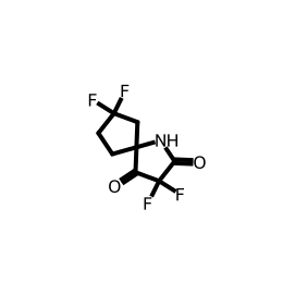 O=C1NC2(CCC(F)(F)C2)C(=O)C1(F)F